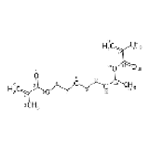 C=C(C)C(=O)OCCOCCOC(C)OC(=O)C(=C)C